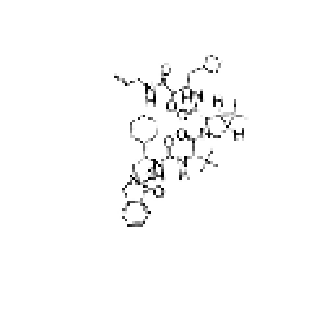 C=CCNC(=O)C(=O)C(CC1CCC1)NC(=O)[C@@H]1[C@@H]2[C@H](CN1C(=O)[C@@H](NC(=O)N[C@H](CN1Cc3ccccc3S1(=O)=O)C1CCCCC1)C(C)(C)C)C2(C)C